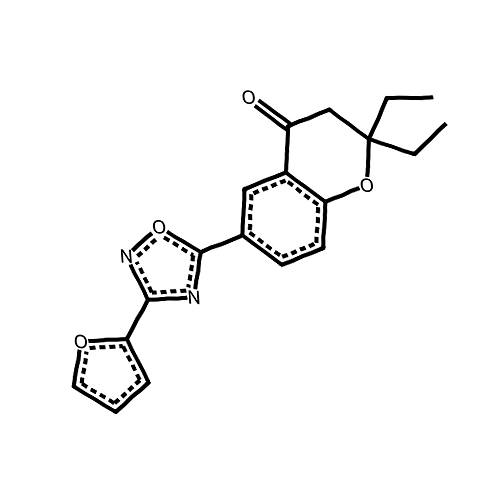 CCC1(CC)CC(=O)c2cc(-c3nc(-c4ccco4)no3)ccc2O1